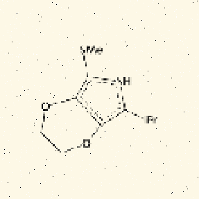 CSc1[nH]c(C(C)C)c2c1OCCO2